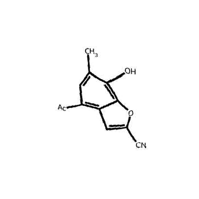 CC(=O)c1cc(C)c(O)c2oc(C#N)cc12